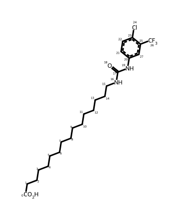 O=C(O)CCCCCCCCCCCCCCCNC(=O)Nc1ccc(Cl)c(C(F)(F)F)c1